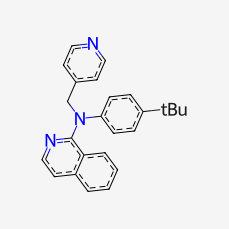 CC(C)(C)c1ccc(N(Cc2ccncc2)c2nccc3ccccc23)cc1